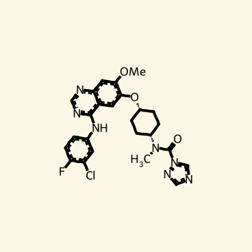 COc1cc2ncnc(Nc3ccc(F)c(Cl)c3)c2cc1O[C@H]1CC[C@@H](N(C)C(=O)n2cncn2)CC1